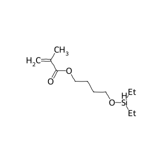 C=C(C)C(=O)OCCCCO[SiH](CC)CC